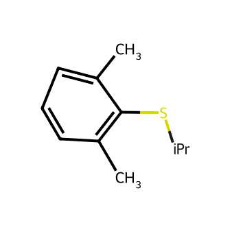 Cc1cccc(C)c1SC(C)C